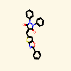 O=C1C(=Cc2cc3oc(-c4ccccc4)nc3s2)C(=O)N(c2ccccc2)N1c1ccccc1